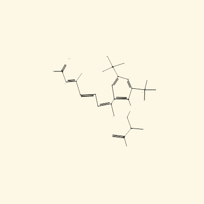 C=C(C)C(F)COc1c(\C(C)=C/C=C/C(C)=C/C(=O)O)cc(C(C)(C)C)cc1C(C)(C)C